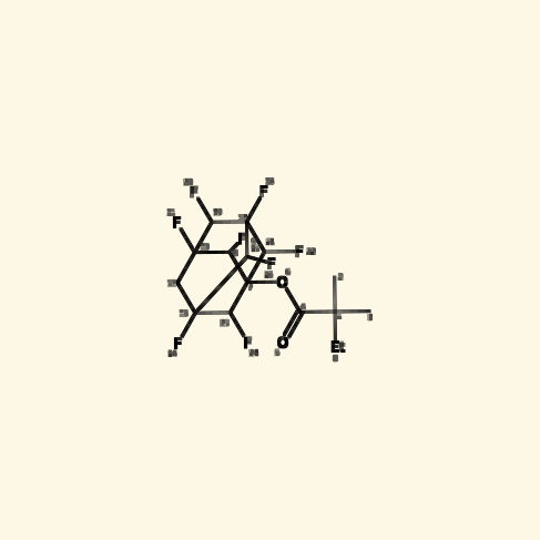 CCC(C)(C)C(=O)OC12C(F)C3(F)CC(F)(C(F)C(F)(C3F)C1F)C2F